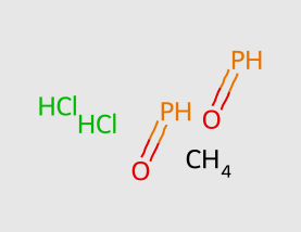 C.Cl.Cl.O=P.O=P